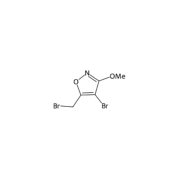 COc1noc(CBr)c1Br